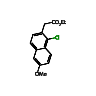 CCOC(=O)Cc1ccc2cc(OC)ccc2c1Cl